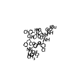 CN(C)Cc1ncc(-c2ccc(Oc3cc(Cl)ccc3CNC(CCNC(=O)OC(C)(C)C)C(=O)NC(CO)C(=O)N[C@@]3(Cc4ccc(Cl)cc4)CCCN(C(=O)C(CC(=O)O)Cc4ccccc4)C3)cc2)n1C